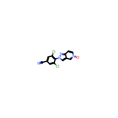 N#Cc1cc(Cl)c(-n2cc3c[n+]([O-])ccc3n2)c(Cl)c1